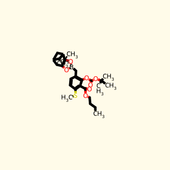 CCCCOC(=O)c1c(SC)ccc(CB2OC3CC4CC(C4(C)C)[C@]3(C)O2)c1OC(=O)OC(C)(C)C